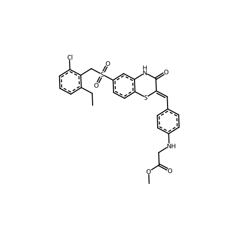 CCc1cccc(Cl)c1CS(=O)(=O)c1ccc2c(c1)NC(=O)/C(=C/c1ccc(NCC(=O)OC)cc1)S2